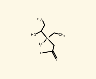 CCC(O)[N+](C)(CC)CC(=O)[O-]